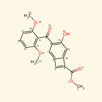 COC(=O)C1=Cc2cc(C(=O)c3c(OC)cccc3OC)c(O)cc21